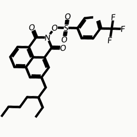 C=C(/C=C\C(=C/C)S(=O)(=O)ON1C(=O)c2cccc3cc(CC(CC)CCCC)cc(c23)C1=O)C(F)(F)F